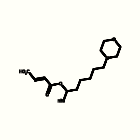 CCCCC(CCCCCN1CCOCC1)OC(=O)C=CC(=O)O